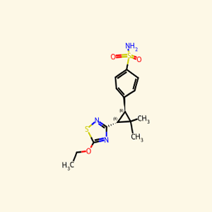 CCOc1nc([C@@H]2[C@@H](c3ccc(S(N)(=O)=O)cc3)C2(C)C)ns1